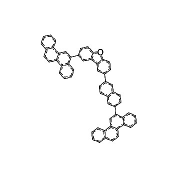 c1ccc2c(c1)ccc1c3ccccc3c(-c3ccc4cc(-c5ccc6oc7ccc(-c8cc9c%10ccccc%10ccc9c9ccccc89)cc7c6c5)ccc4c3)cc21